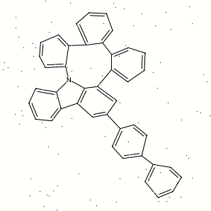 c1ccc(-c2ccc(-c3cc4c5ccccc5c5ccccc5c5ccccc5n5c6ccccc6c(c3)c45)cc2)cc1